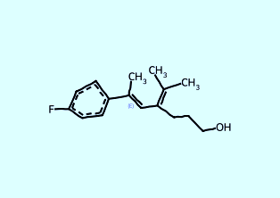 CC(C)=C(/C=C(\C)c1ccc(F)cc1)CCCO